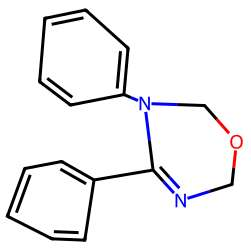 c1ccc(C2=NCOCN2c2ccccc2)cc1